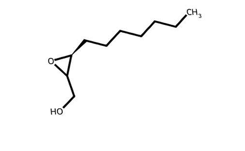 CCCCCCC[C@@H]1OC1CO